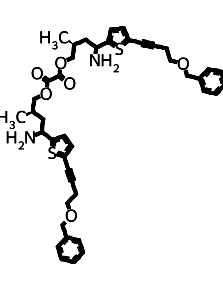 C[C@@H](COC(=O)C(=O)OC[C@H](C)CC(N)c1ccc(C#CCCOCc2ccccc2)s1)CC(N)c1ccc(C#CCCOCc2ccccc2)s1